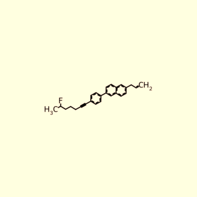 C=CCc1ccc2cc(-c3ccc(C#CCCCC(C)F)cc3)ccc2c1